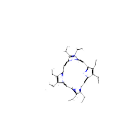 CCC1=C(CC)c2cc3[nH]c(cc4nc(cc5[nH]c(cc1n2)c(CC)c5CC)C(CC)=C4CC)c(CC)c3CC.[Co+2]